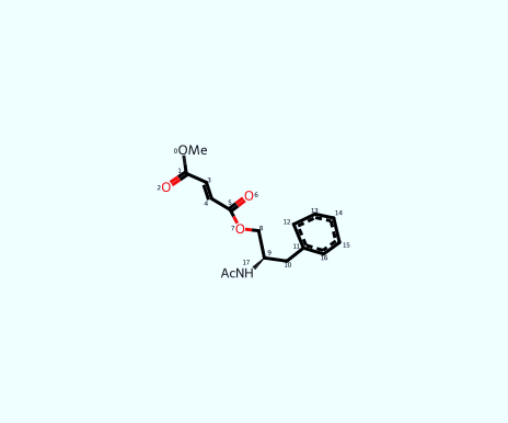 COC(=O)/C=C/C(=O)OC[C@@H](Cc1ccccc1)NC(C)=O